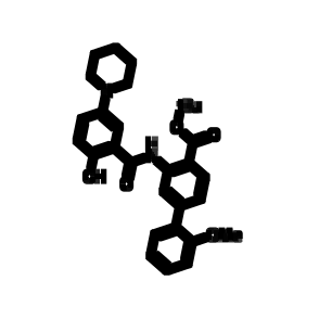 COc1ccccc1-c1ccc(C(=O)OC(C)(C)C)c(NC(=O)c2cc(N3CCCCC3)ccc2O)c1